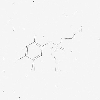 C.CCOP(=S)(OC)Oc1cc(Cl)c(Cl)cc1Cl